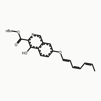 C\C=C/C=C\C=C\Oc1ccc2c(O)c(C(=O)OCCCC)ncc2c1